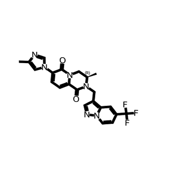 Cc1cn(-c2ccc3n(c2=O)C[C@@H](C)N(Cc2cnn4ccc(C(F)(F)F)cc24)C3=O)cn1